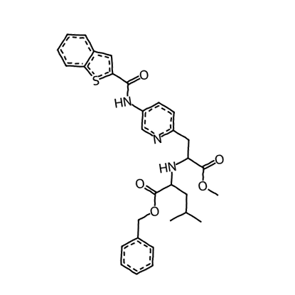 COC(=O)C(Cc1ccc(NC(=O)c2cc3ccccc3s2)cn1)NC(CC(C)C)C(=O)OCc1ccccc1